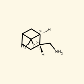 CC1(C)C2CC[C@@H](CN)[C@@H]1C2